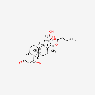 CCCC1O[C@@H]2C[C@H]3[C@@H]4CCC5=CC(=O)C[C@@H](O)[C@]5(C)[C@H]4CC[C@]3(C)[C@]2(C(=O)CO)O1